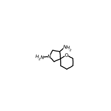 NC1CN(N)CC12CCCCO2